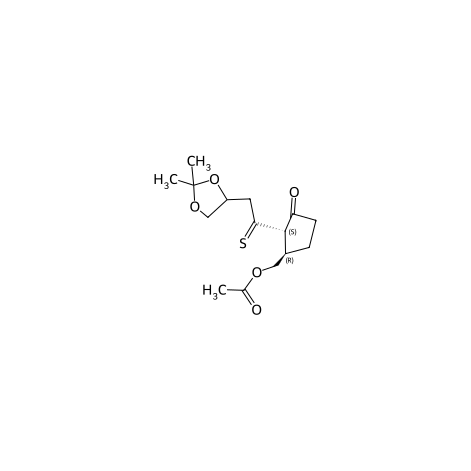 CC(=O)OC[C@@H]1CCC(=O)[C@H]1C(=S)CC1COC(C)(C)O1